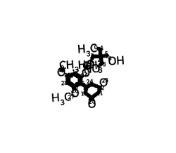 CCC(CO)(CO)CO.COc1cc(OC)c(C2CC(=O)CC(=O)C2)c(OC)c1